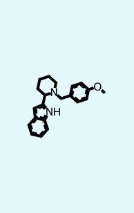 COc1ccc(CN2CCCCC2c2cc3ccccc3[nH]2)cc1